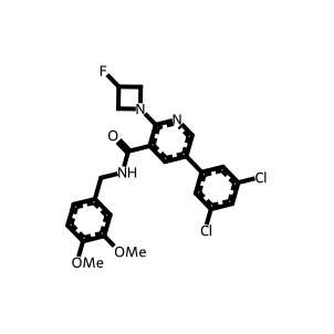 COc1ccc(CNC(=O)c2cc(-c3cc(Cl)cc(Cl)c3)cnc2N2CC(F)C2)cc1OC